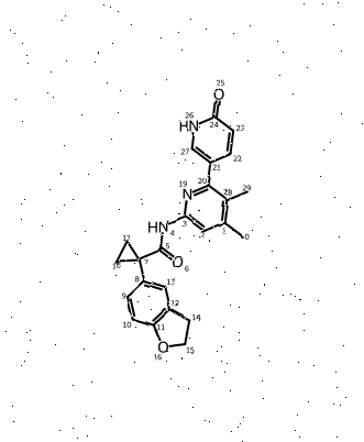 Cc1cc(NC(=O)C2(c3ccc4c(c3)CCO4)CC2)nc(-c2ccc(=O)[nH]c2)c1C